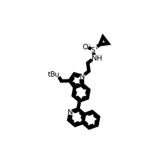 CC(C)(C)Cc1cn(CCN[S+]([O-])C2CC2)c2ccc(-c3nccc4ccccc34)cc12